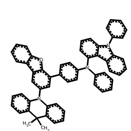 CC1(C)c2ccccc2N(c2cc(-c3ccc(N(c4ccccc4)c4cccc5c4c4ccccc4n5-c4ccccc4)cc3)c3oc4ccccc4c3c2)c2ccccc21